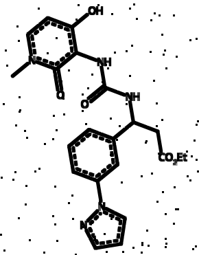 CCOC(=O)CC(NC(=O)Nc1c(O)ccn(C)c1=O)c1cccc(-n2cccn2)c1